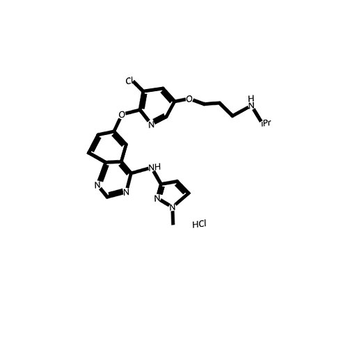 CC(C)NCCCOc1cnc(Oc2ccc3ncnc(Nc4ccn(C)n4)c3c2)c(Cl)c1.Cl